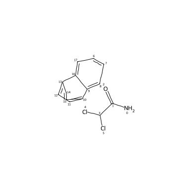 NC(=O)C(Cl)Cl.c1ccc2c3ccc(cc3)c2c1